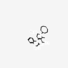 CC1C(C(=O)O)=C(n2c(=O)c(=O)[nH]c3ccccc32)CCN1C1CCCCCCC1.[NaH]